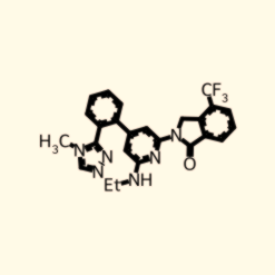 CCNc1cc(-c2ccccc2-c2nncn2C)cc(N2Cc3c(cccc3C(F)(F)F)C2=O)n1